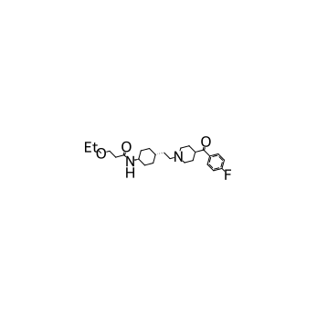 CCOCCC(=O)N[C@H]1CC[C@H](CCN2CCC(C(=O)c3ccc(F)cc3)CC2)CC1